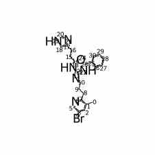 Cc1cc(Br)cnc1CCCN=C(NCCCc1c[nH]cn1)NC(=O)c1ccccc1